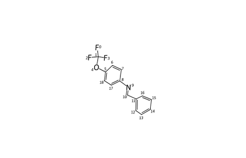 FC(F)(F)Oc1ccc(N=Cc2ccccc2)cc1